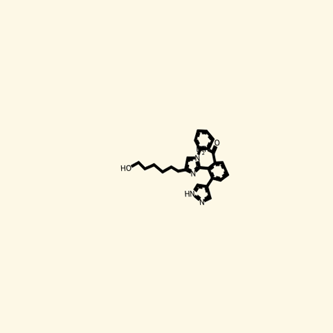 NC(=O)c1cccc(-c2cn[nH]c2)c1-c1nc(CCCCCCO)cn1-c1ccccc1